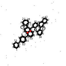 c1ccc(-c2ccc(-c3ccc(N(c4ccccc4-c4cccc5oc6ccccc6c45)c4cccc5oc6c7ccccc7ccc6c45)cc3)cc2)cc1